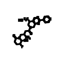 Cl.N[C@H](CC(=O)N1Cc2nc(-c3ccncc3)ncc2C(C(F)(F)F)C1)CN1C(=O)CCC(F)C1O